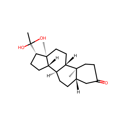 CC(O)(O)[C@H]1CC[C@H]2[C@@H]3CC[C@H]4CC(=O)CC[C@]4(C)[C@H]3CC[C@]12C